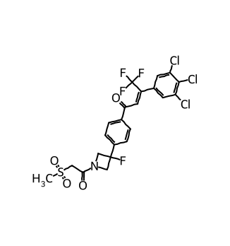 CS(=O)(=O)CC(=O)N1CC(F)(c2ccc(C(=O)/C=C(/c3cc(Cl)c(Cl)c(Cl)c3)C(F)(F)F)cc2)C1